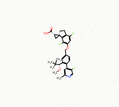 CO[C@@H](c1cc(COc2cc(F)c3c(c2F)[C@@]2(CC3)C[C@@H]2C(=O)O)ccc1-c1cc(C)ncc1F)C(C)(C)C